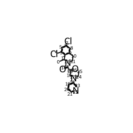 CC1c2c(Cl)cc(Cl)cc2CCN1C(=O)[C@@H]1CN(c2cccnc2)CCO1